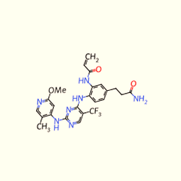 C=CC(=O)Nc1cc(CCC(N)=O)ccc1Nc1nc(Nc2cc(OC)ncc2C)ncc1C(F)(F)F